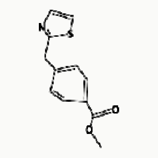 COC(=O)c1ccc(Cc2nccs2)cc1